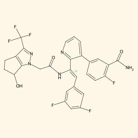 NC(=O)c1cc(-c2cccnc2/C(=C/c2cc(F)cc(F)c2)NC(=O)Cn2nc(C(F)(F)F)c3c2C(O)CC3)ccc1F